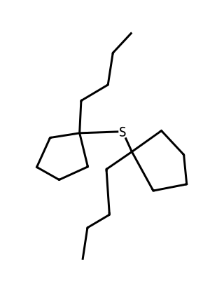 CCCCC1(SC2(CCCC)CCCC2)CCCC1